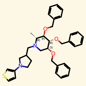 C[C@@H]1[C@@H](OCc2ccccc2)[C@H](OCc2ccccc2)[C@@H](OCc2ccccc2)CN1CC1CCN(c2ccsc2)C1